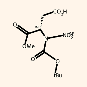 COC(=O)[C@H](CC(=O)O)N(C(=O)OC(C)(C)C)[N+](=O)[O-].[N]